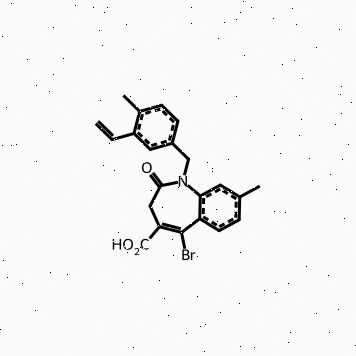 C=Cc1cc(CN2C(=O)CC(C(=O)O)=C(Br)c3ccc(C)cc32)ccc1C